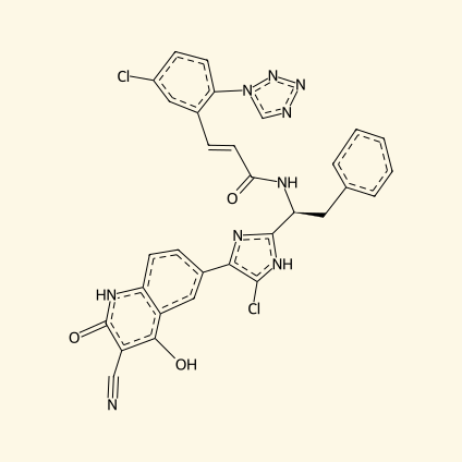 N#Cc1c(O)c2cc(-c3nc([C@H](Cc4ccccc4)NC(=O)/C=C/c4cc(Cl)ccc4-n4cnnn4)[nH]c3Cl)ccc2[nH]c1=O